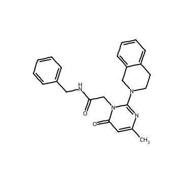 Cc1cc(=O)n(CC(=O)NCc2ccccc2)c(N2CCc3ccccc3C2)n1